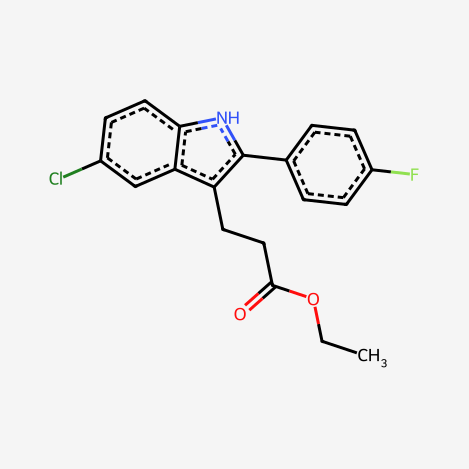 CCOC(=O)CCc1c(-c2ccc(F)cc2)[nH]c2ccc(Cl)cc12